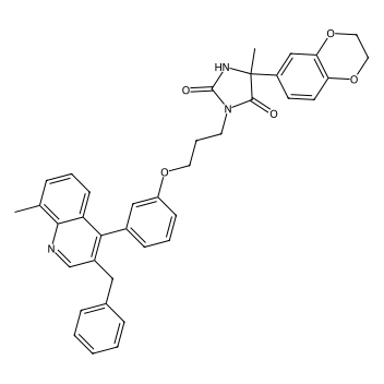 Cc1cccc2c(-c3cccc(OCCCN4C(=O)NC(C)(c5ccc6c(c5)OCCO6)C4=O)c3)c(Cc3ccccc3)cnc12